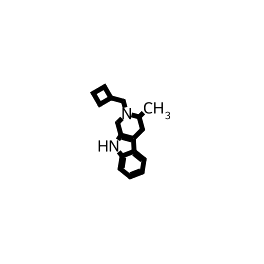 CC1Cc2c([nH]c3ccccc23)CN1CC1CCC1